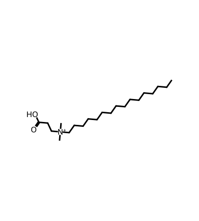 CCCCCCCCCCCCCCCC[N+](C)(C)CCC(=O)O